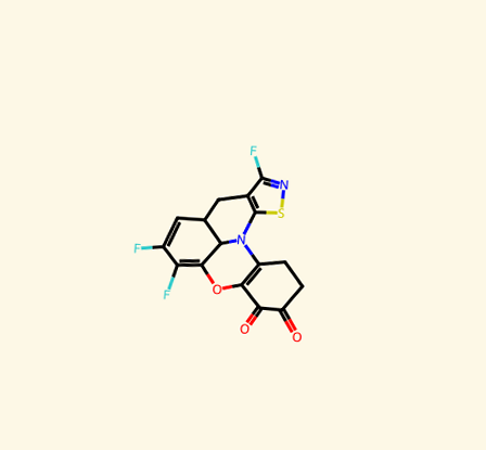 O=C1CCC2=C(OC3=C(F)C(F)=CC4Cc5c(F)nsc5N2C34)C1=O